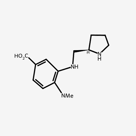 CNc1ccc(C(=O)O)cc1NC[C@H]1CCCN1